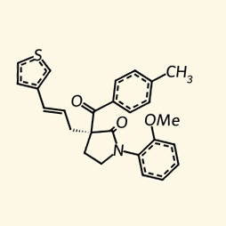 COc1ccccc1N1CC[C@@](C/C=C/c2ccsc2)(C(=O)c2ccc(C)cc2)C1=O